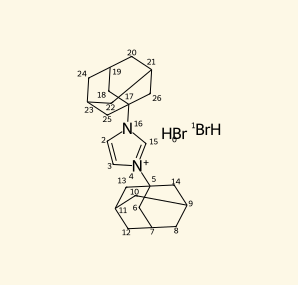 Br.Br.c1c[n+](C23CC4CC(CC(C4)C2)C3)cn1C12CC3CC(CC(C3)C1)C2